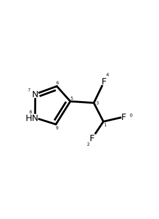 FC(F)C(F)c1cn[nH]c1